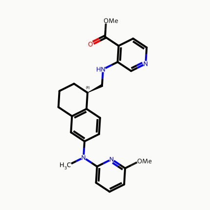 COC(=O)c1ccncc1NC[C@@H]1CCCc2cc(N(C)c3cccc(OC)n3)ccc21